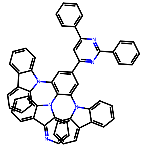 c1ccc(-c2cc(-c3cc(-n4c5ccccc5c5ccccc54)c(-n4c5ccccc5c5ncccc54)c(-n4c5ccccc5c5ccccc54)c3)nc(-c3ccccc3)n2)cc1